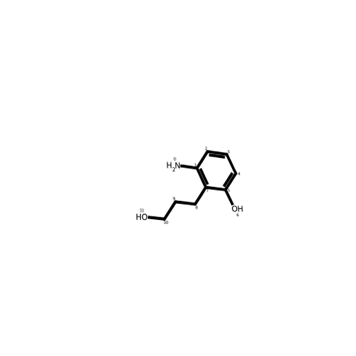 Nc1cccc(O)c1CCCO